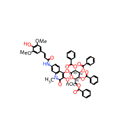 CCCCCCCCOc1c(O[C@@H]2O[C@H](COC(=O)c3ccccc3)[C@H](OC(=O)c3ccccc3)[C@H](OC(=O)c3ccccc3)[C@H]2OC(=O)c2ccccc2)c2ccc(NC(=O)C=Cc3cc(OC)c(O)c(OC)c3)cc2n(C)c1=O